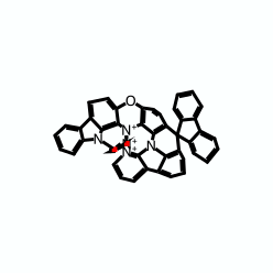 c1ccc2c(c1)-c1ccccc1C21c2ccc3c4c2-n2c5c1cccc5c1ccc[n+](c12)[N+]41c2c(ccc4c5ccccc5n(c24)-c2cccc[n+]21)O3